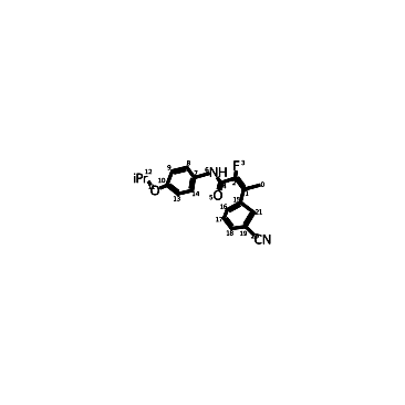 CC(=C(F)C(=O)Nc1ccc(OC(C)C)cc1)c1cccc(C#N)c1